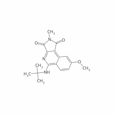 COc1ccc2c(NC(C)(C)C)nc3c(c2c1)C(=O)N(C)C3=O